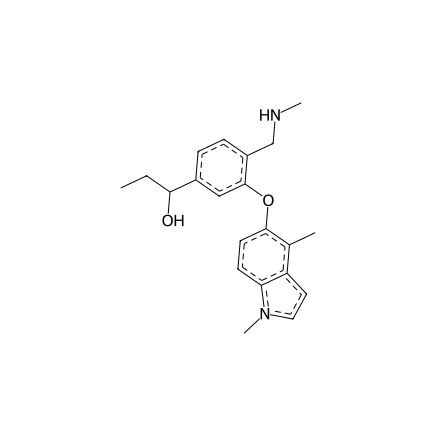 CCC(O)c1ccc(CNC)c(Oc2ccc3c(ccn3C)c2C)c1